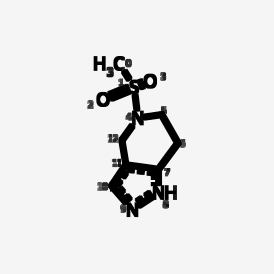 CS(=O)(=O)N1CCc2[nH]n[c]c2C1